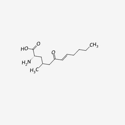 CCCCC=CC(=O)CC(C)C[C@H](N)C(=O)O